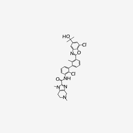 Cc1c(-c2nc3cc(C(C)(C)O)cc(Cl)c3o2)cccc1-c1cccc(NC(=O)c2nc3c(n2C)CCN(C)C3)c1Cl